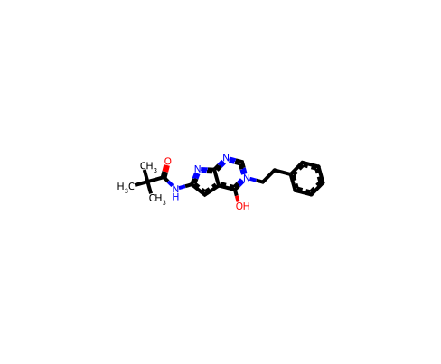 CC(C)(C)C(=O)Nc1cc2c(O)n(CCc3ccccc3)cnc-2n1